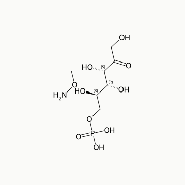 CON.O=C(CO)[C@@H](O)[C@H](O)[C@H](O)COP(=O)(O)O